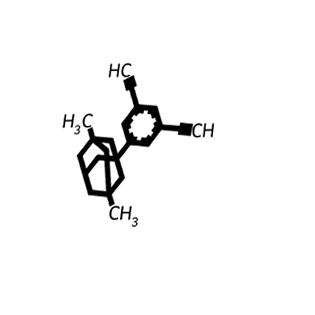 C#Cc1cc(C#C)cc(C23CC4CC(C)(CC(C)(C4)C2)C3)c1